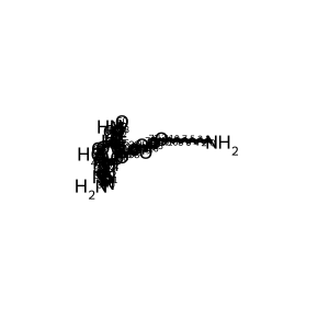 NCCCCCCCCCCCCOc1ccc(C(=O)Oc2ccc(CSP3(=O)OC[C@H]4O[C@@H](n5cnc6c(N)ncnc65)[C@H](F)[C@@H]4OP(=O)(O)OC[C@H]4O[C@@H](n5ccc(=O)[nH]c5=O)[C@H](F)[C@@H]4O3)cc2)cc1